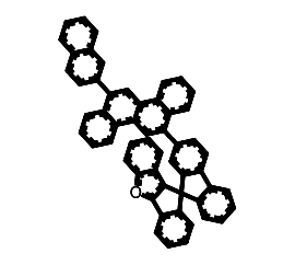 c1ccc2c(c1)-c1ccc(-c3cc4c5ccccc5c(-c5ccc6ccccc6c5)cc4c4ccccc34)cc1C21c2ccccc2-c2oc3ccccc3c21